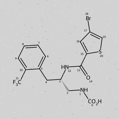 O=C(O)NC[C@H](Cc1ccccc1C(F)(F)F)NC(=O)c1cc(Br)cs1